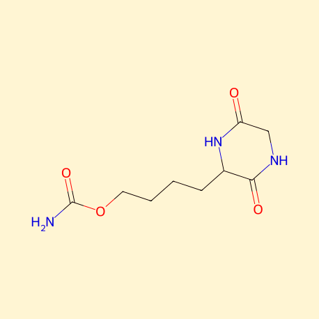 NC(=O)OCCCCC1NC(=O)CNC1=O